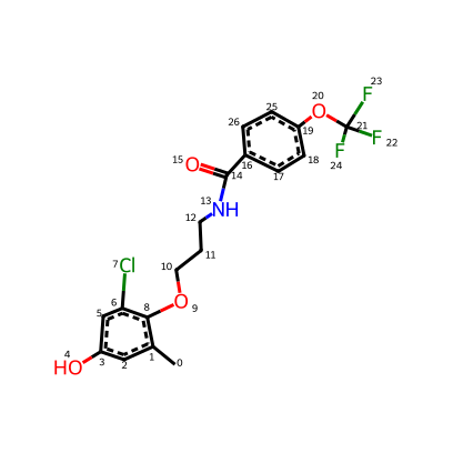 Cc1cc(O)cc(Cl)c1OCCCNC(=O)c1ccc(OC(F)(F)F)cc1